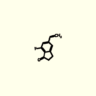 C=Cc1cc(F)c2c(c1)CCC2=O